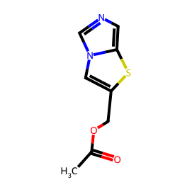 CC(=O)OCc1cn2cncc2s1